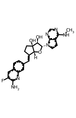 CNc1ncnc2c1ccn2[C@@H]1O[C@@H]2/C(=C/c3ccc4cc(F)c(N)nc4c3)CC[C@]2(O)[C@H]1O